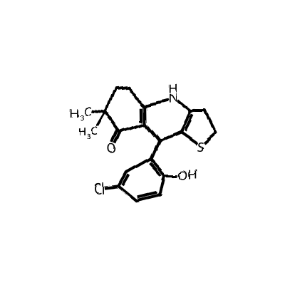 CC1(C)CCC2=C(C1=O)C(c1cc(Cl)ccc1O)C1=C(CCS1)N2